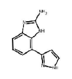 Nc1nc2cccc(-c3cc[nH]n3)c2[nH]1